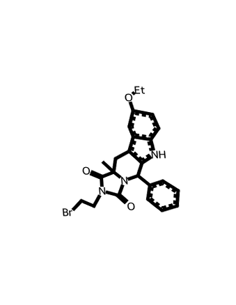 CCOc1ccc2[nH]c3c(c2c1)CC1(C)C(=O)N(CCBr)C(=O)N1C3c1ccccc1